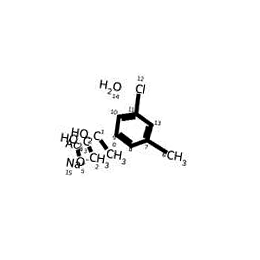 CC(=O)O.CC(=O)O.CC(=O)[O-].Cc1cccc(Cl)c1.O.[Na+]